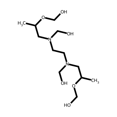 CC(CN(CO)CCN(CO)CC(C)OCO)OCO